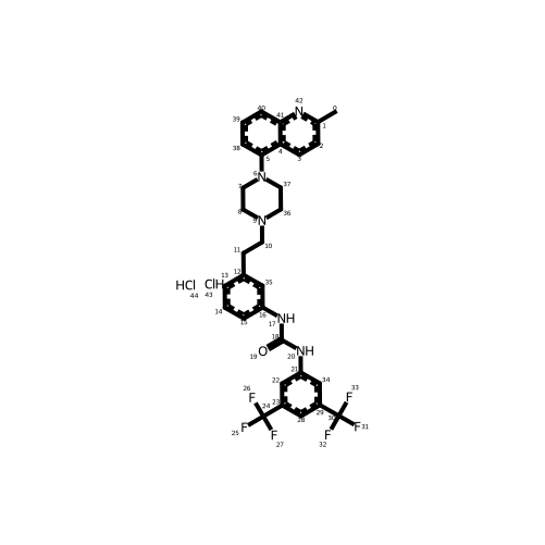 Cc1ccc2c(N3CCN(CCc4cccc(NC(=O)Nc5cc(C(F)(F)F)cc(C(F)(F)F)c5)c4)CC3)cccc2n1.Cl.Cl